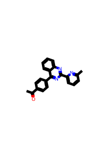 CC(=O)c1ccc(-c2nc(-c3cccc(C)n3)nc3ccccc23)cc1